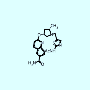 CC(=O)Nc1ncc(CN2C[C@H](Oc3ccc4cc(C(N)=O)ccc4n3)C[C@@H]2C)s1